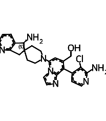 Nc1nccc(-c2c(CO)cc(N3CCC4(CC3)Cc3ncccc3[C@H]4N)n3ccnc23)c1Cl